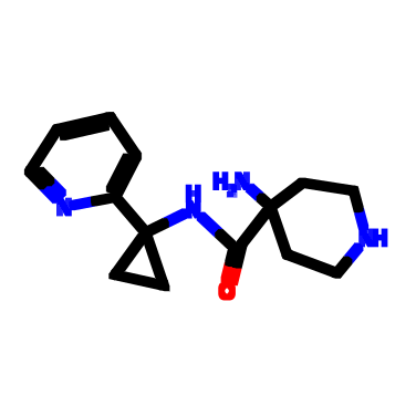 NC1(C(=O)NC2(c3ccccn3)CC2)CCNCC1